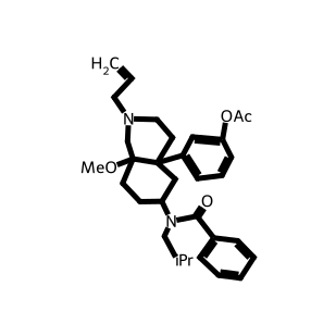 C=CCN1CCC2(c3cccc(OC(C)=O)c3)CC(N(CC(C)C)C(=O)c3ccccc3)CCC2(OC)C1